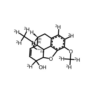 [2H]c1c([2H])c(OC([2H])([2H])[2H])c2c3c1C[C@@H]1[C@@H]4C=CC([2H])(O)C(O2)[C@]34CCN1C([2H])([2H])[2H]